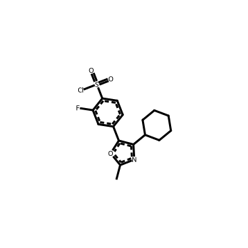 Cc1nc(C2CCCCC2)c(-c2ccc(S(=O)(=O)Cl)c(F)c2)o1